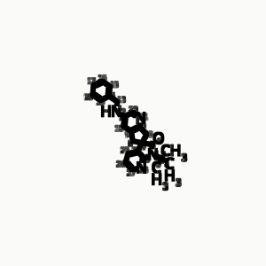 CC(C)(C)N1C(=O)C2(Cc3cc(NCc4ccccc4)cnc3C2)c2cccnc21